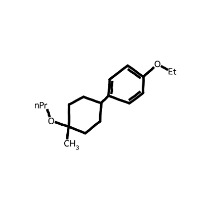 CCCOC1(C)CCC(c2ccc(OCC)cc2)CC1